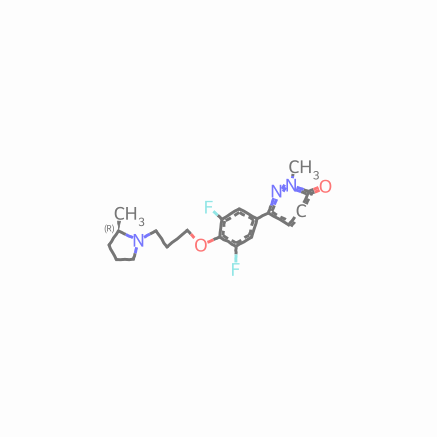 C[C@@H]1CCCN1CCCOc1c(F)cc(-c2ccc(=O)n(C)n2)cc1F